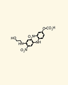 O=C(O)Oc1ccc(Nc2ccc(NCCO)c([N+](=O)[O-])c2)c([N+](=O)[O-])c1